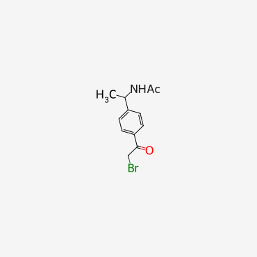 CC(=O)NC(C)c1ccc(C(=O)CBr)cc1